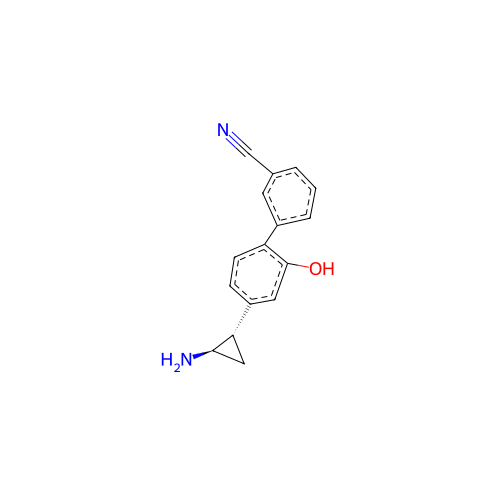 N#Cc1cccc(-c2ccc([C@@H]3C[C@H]3N)cc2O)c1